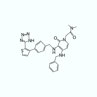 CN(C)C(=O)Cn1ccc(NCc2ccccc2)c(NCc2ccc(-c3ccsc3-c3nnn[nH]3)cc2)c1=O